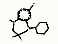 CN1CC(F)(F)CN(C2CCCCC2)c2nc(Cl)ncc21